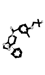 Cc1cc(C(=O)N2CC[C@@]3(c4ccccc4)OCOC3C2)ccc1OCC(C)(C)F